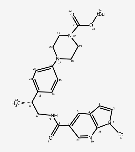 CCn1ccc2cc(C(=O)NC[C@H](C)c3ccc(N4CCN(C(=O)OC(C)(C)C)CC4)cc3)cnc21